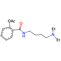 CCN(CC)CCCCNC(=O)c1ccccc1OC(C)=O